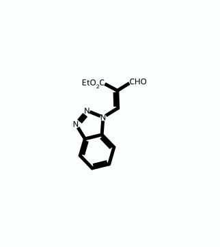 CCOC(=O)/C(C=O)=C\n1nnc2ccccc21